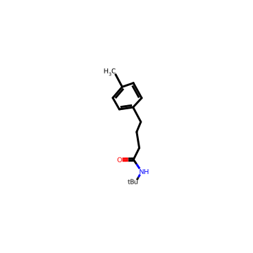 Cc1ccc(CCCC(=O)NC(C)(C)C)cc1